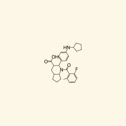 Cc1cccc(F)c1C(=O)N1C2CCCC2CC(C(=O)O)C1c1ccc(NC2CCCC2)cc1